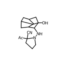 CC(=O)C1(C#N)CCCN1NC1C2CC3CC(C2)CC1(O)C3